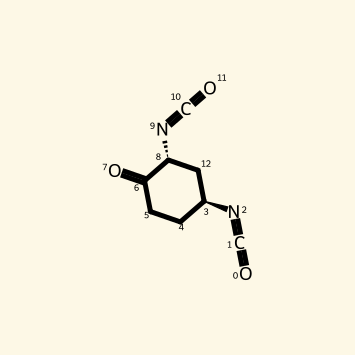 O=C=N[C@H]1CCC(=O)[C@H](N=C=O)C1